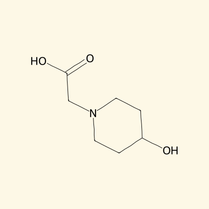 O=C(O)CN1CCC(O)CC1